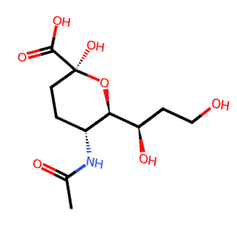 CC(=O)N[C@@H]1CC[C@@](O)(C(=O)O)O[C@H]1[C@H](O)CCO